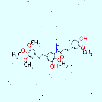 COc1cc(/C=C/C(=O)Nc2cc(/C=C/c3cc(OC)c(OC)c(OC)c3)cc(O)c2OC)ccc1O